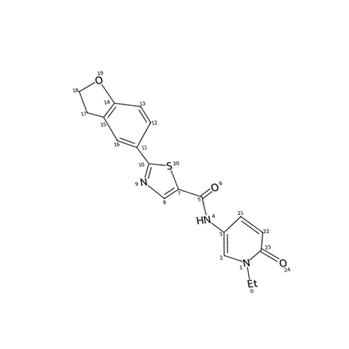 CCn1cc(NC(=O)c2cnc(-c3ccc4c(c3)CCO4)s2)ccc1=O